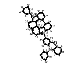 c1ccc(N2c3ccccc3Oc3cc(-n4c5cccc6c5c5c7c(ccc8c7c7c-6cccc7n8-c6ccccc6)ccc54)ccc32)cc1